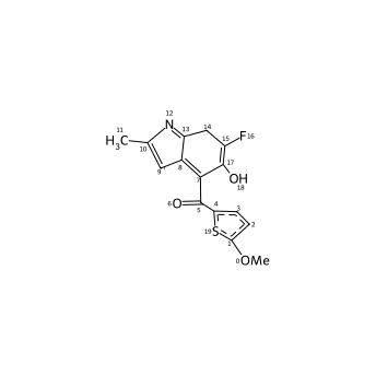 COc1ccc(C(=O)C2=C3[C]=C(C)N=C3CC(F)=C2O)s1